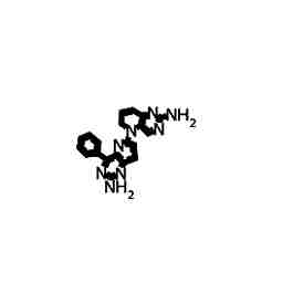 Nc1ncc2c(n1)C=CCN2c1ccc2nc(N)nc(-c3ccccc3)c2n1